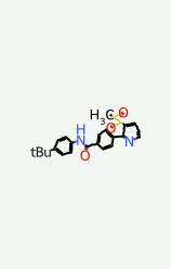 CC(C)(C)c1ccc(NC(=O)c2ccc(-c3ncccc3S(C)(=O)=O)cc2)cc1